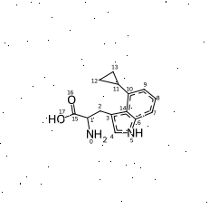 NC(Cc1c[nH]c2cccc(C3CC3)c12)C(=O)O